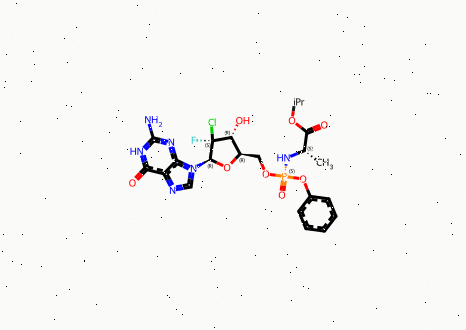 CC(C)OC(=O)[C@H](C)N[P@](=O)(OC[C@H]1O[C@@H](n2cnc3c(=O)[nH]c(N)nc32)[C@@](F)(Cl)[C@@H]1O)Oc1ccccc1